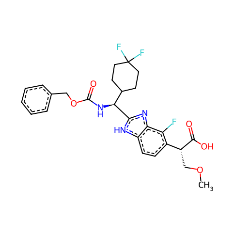 COC[C@@H](C(=O)O)c1ccc2[nH]c([C@@H](NC(=O)OCc3ccccc3)C3CCC(F)(F)CC3)nc2c1F